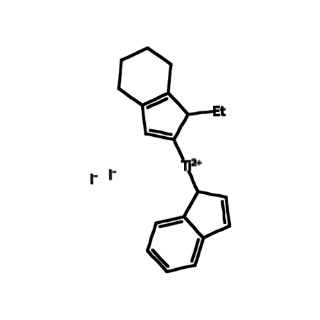 CCC1[C]([Ti+2][CH]2C=Cc3ccccc32)=CC2=C1CCCC2.[I-].[I-]